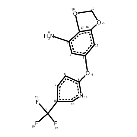 Nc1cc(Oc2ccc(C(F)(F)F)cn2)cc2c1OCO2